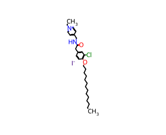 CCCCCCCCCCCCCCOc1ccc(CC(=O)NCc2cc[n+](CC)cc2)cc1Cl.[I-]